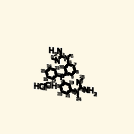 CN=C(N)N(C)c1cccc(P(c2ccccc2)c2cccc(N(C)C(N)=NC)c2)c1.Cl.Cl